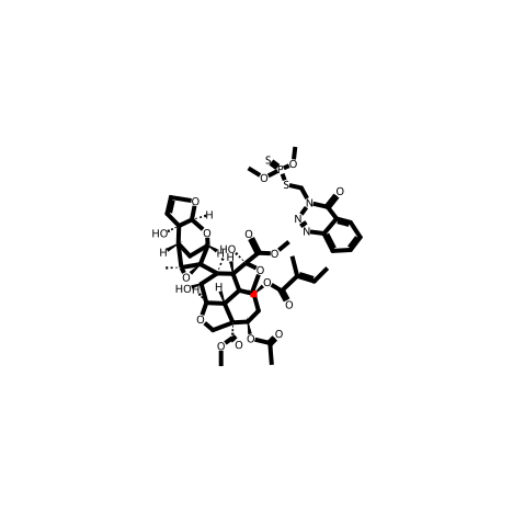 C/C=C(\C)C(=O)O[C@H]1C[C@@H](OC(C)=O)[C@@]2(C(=O)OC)CO[C@H]3[C@@H](O)[C@@](C)([C@]45O[C@@]4(C)[C@H]4C[C@@H]5O[C@@H]5OC=C[C@@]54O)[C@H]4[C@]1(CO[C@]4(O)C(=O)OC)[C@@H]32.COP(=S)(OC)SCn1nnc2ccccc2c1=O